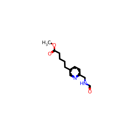 COC(=O)CCCCc1ccc(CNC=O)nc1